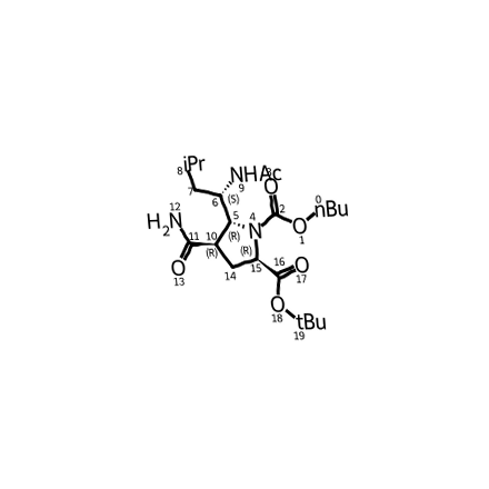 CCCCOC(=O)N1[C@@H]([C@H](CC(C)C)NC(C)=O)[C@H](C(N)=O)C[C@@H]1C(=O)OC(C)(C)C